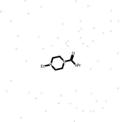 CCCC(=O)N1CCN(CC)CC1